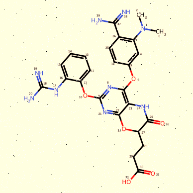 CN(C)c1cc(Oc2nc(Oc3ccccc3NC(=N)N)nc3c2NC(=O)C(CCC(=O)O)O3)ccc1C(=N)N